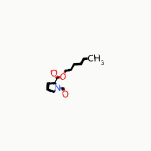 CCCCCCOC(=O)[C@@H]1CCCN1C=O